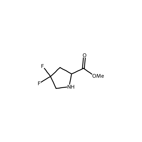 COC(=O)C1CC(F)(F)CN1